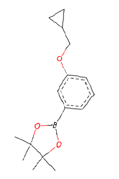 CC1(C)OB(c2cccc(OCC3CC3)c2)OC1(C)C